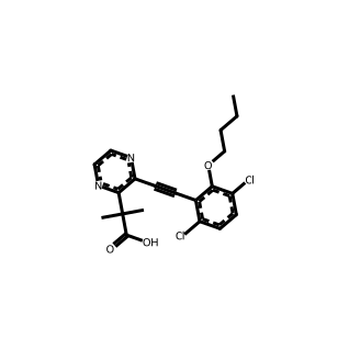 CCCCOc1c(Cl)ccc(Cl)c1C#Cc1nccnc1C(C)(C)C(=O)O